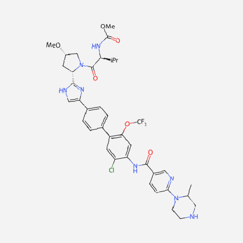 COC(=O)N[C@H](C(=O)N1C[C@@H](OC)C[C@H]1c1nc(-c2ccc(-c3cc(Cl)c(NC(=O)c4ccc(N5CCNCC5C)nc4)cc3OC(F)(F)F)cc2)c[nH]1)C(C)C